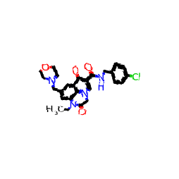 CCN1C(=O)Cn2cc(C(=O)NCc3ccc(Cl)cc3)c(=O)c3cc(CN4CCOCC4)cc1c32